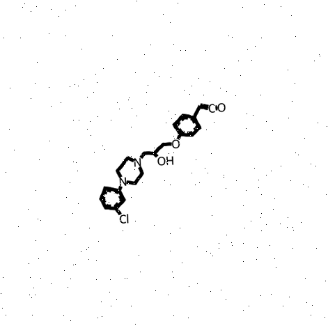 O=C=Cc1ccc(OCC(O)CN2CCN(c3cccc(Cl)c3)CC2)cc1